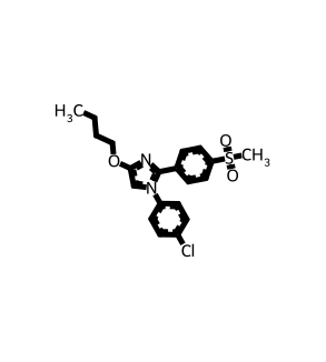 CCCCOc1cn(-c2ccc(Cl)cc2)c(-c2ccc(S(C)(=O)=O)cc2)n1